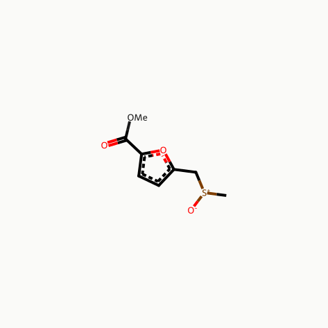 COC(=O)c1ccc(C[S+](C)[O-])o1